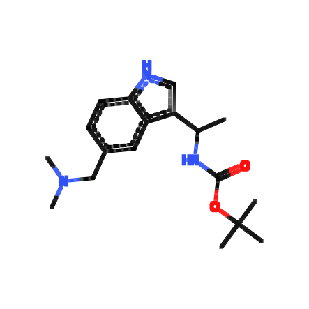 CC(NC(=O)OC(C)(C)C)c1c[nH]c2ccc(CN(C)C)cc12